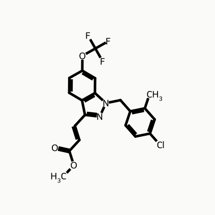 COC(=O)/C=C/c1nn(Cc2ccc(Cl)cc2C)c2cc(OC(F)(F)F)ccc12